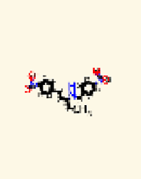 CCC(CCc1ccc([N+](=O)[O-])cc1)NCc1ccc([N+](=O)[O-])cc1